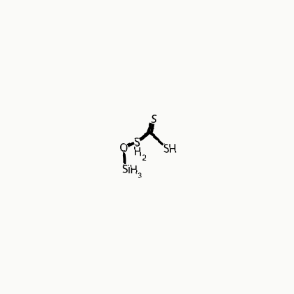 [SiH3]O[SH2]C(=S)S